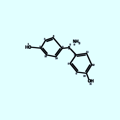 N.Oc1ccc(Sc2ccc(O)cc2)cc1